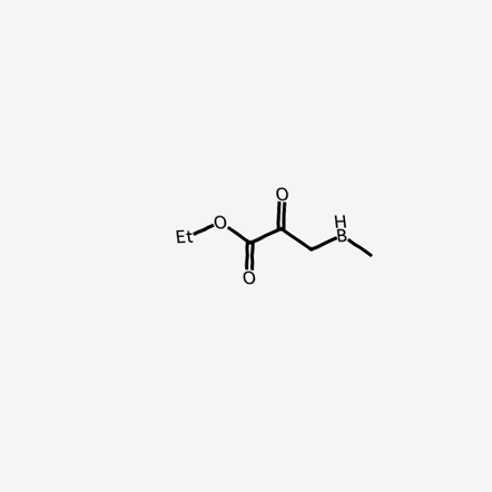 CBCC(=O)C(=O)OCC